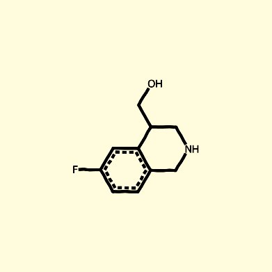 OCC1CNCc2ccc(F)cc21